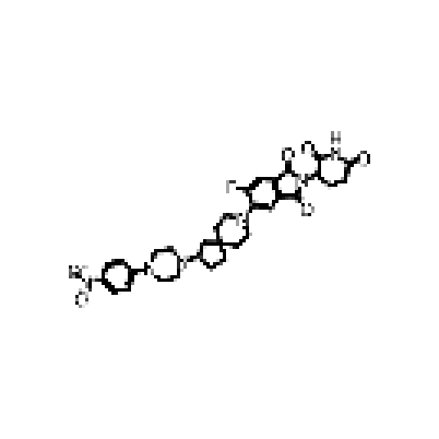 O=C1CCC(N2C(=O)c3cc(F)c(N4CCC5(CCC(N6CCN(c7ccc([N+](=O)[O-])cc7)CC6)C5)CC4)cc3C2=O)C(=O)N1